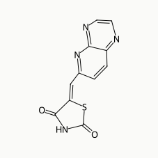 O=C1NC(=O)/C(=C/c2ccc3nccnc3n2)S1